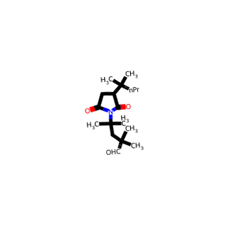 CCCC(C)(C)C1CC(=O)N(C(C)(C)CC(C)(C)C=O)C1=O